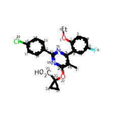 CCOc1ccc(F)cc1-c1nc(-c2ccc(Cl)cc2)nc(OC2(C(=O)O)CC2)c1C